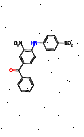 O=C(c1ccccc1)c1ccc(Nc2ccc([N+](=O)[O-])cc2)c([N+](=O)[O-])c1